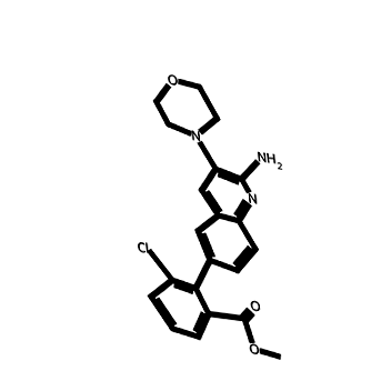 COC(=O)c1cccc(Cl)c1-c1ccc2nc(N)c(N3CCOCC3)cc2c1